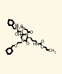 C=CCOC(=O)NCCC[C@H]1C(=O)N(CCOCc2ccccc2)C[C@H]2N1C(=O)CN(C)N2C(=O)NCc1ccccc1